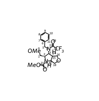 COC[C@H]1[C@@H](N(Cc2ccccc2)C(=O)C(F)(F)F)[C@H]2COC[C@H]2N1C(=O)OC